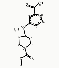 COC(=O)N1CCC(Oc2cncc(C(=O)O)c2)CC1.[LiH]